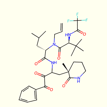 C=CCN(C(=O)[C@@H](NC(=O)C(F)(F)F)C(C)(C)C)[C@@H](CC(C)C)C(=O)NC(C[C@]1(C)CCCNC1=O)C(=O)C(=O)c1ccccc1